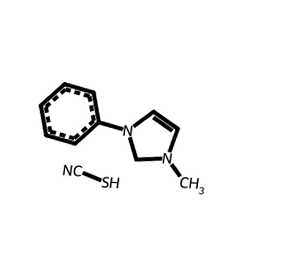 CN1C=CN(c2ccccc2)C1.N#CS